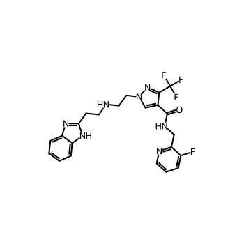 O=C(NCc1ncccc1F)c1cn(CCNCCc2nc3ccccc3[nH]2)nc1C(F)(F)F